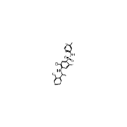 Cc1cc(NS(=O)(=O)c2cc(Cl)c(NC(C)c3ccccc3Cl)cc2F)ncn1